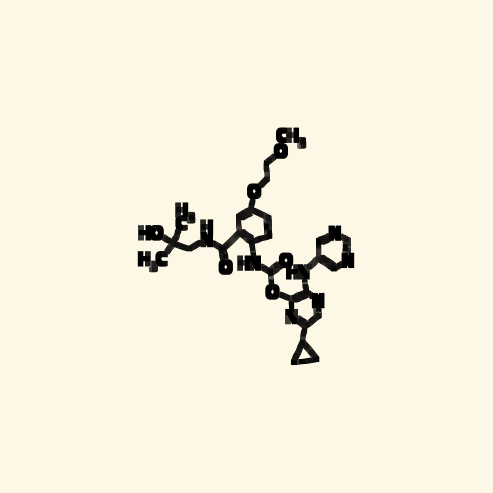 COCCOc1ccc(NC(=O)Oc2nc(C3CC3)cnc2Nc2cncnc2)c(C(=O)NCC(C)(C)O)c1